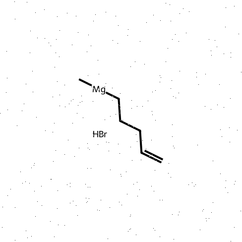 Br.C=CCC[CH2][Mg][CH3]